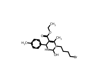 CCOC(=O)C1=C(C)N(CCCCBr)C(O)NC1c1ccc(C)cc1